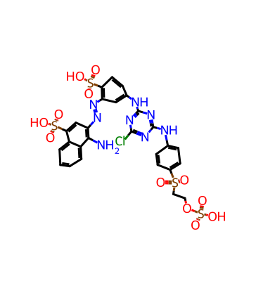 Nc1c(/N=N/c2cc(Nc3nc(Cl)nc(Nc4ccc(S(=O)(=O)CCOS(=O)(=O)O)cc4)n3)ccc2S(=O)(=O)O)cc(S(=O)(=O)O)c2ccccc12